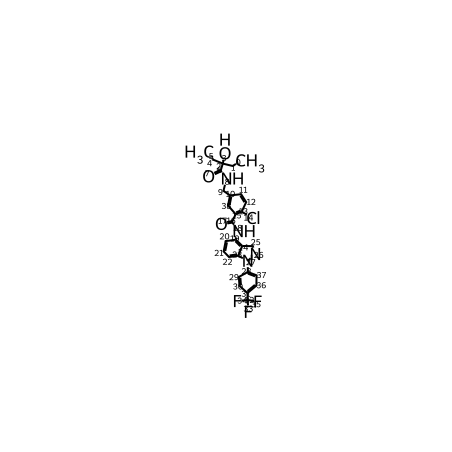 CCC(O)(CC)C(=O)NCc1ccc(Cl)c(C(=O)Nc2cccc3c2cnn3-c2ccc(C(F)(F)F)cc2)c1